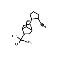 CC(C)(C)N1CC2C(O)C1CN2C1CCCC1C#N